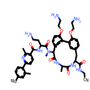 Cc1cc(C(C)(C)C)ccc1-c1ccc(C(=O)NC(CCN)C(=O)N(C)C2C(=O)NC(C)C(=O)NC(C(=O)NCC#N)Cc3ccc(OCCN)c(c3)-c3cc2ccc3OCCN)c(C)n1